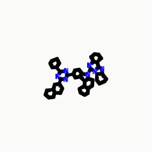 c1ccc(-c2nc(-c3ccc4ccccc4c3)nc(-c3ccc4c(c3)c3c5ccccc5ccc3n4-c3nc4ccccc4c4nc5ccccc5n34)n2)cc1